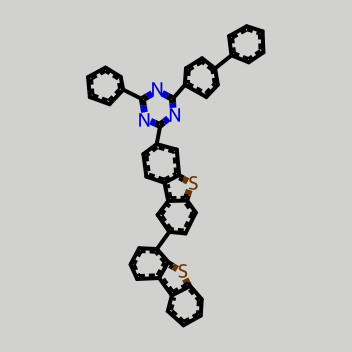 c1ccc(-c2ccc(-c3nc(-c4ccccc4)nc(-c4ccc5c(c4)sc4ccc(-c6cccc7c6sc6ccccc67)cc45)n3)cc2)cc1